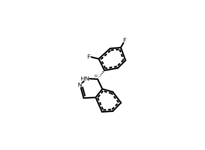 Fc1ccc([C@H]2NN=Cc3ccccc32)c(F)c1